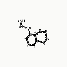 N=N[Te]c1cccc2ccccc12